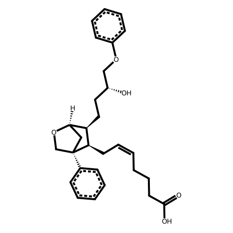 O=C(O)CCC/C=C\C[C@@H]1[C@H](CC[C@@H](O)COc2ccccc2)[C@H]2C[C@]1(c1ccccc1)CO2